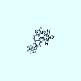 Cc1nc2c(o1)C=Cc1cc(O[Si](C)(C)C(C)(C)C)ccc1C2c1c[nH]c(=O)[nH]c1=O